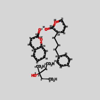 O=C(O)CC(O)(CC(=O)O)C(=O)O.O=c1ccc2ccccc2o1.O=c1occcc1CCCc1ccccc1